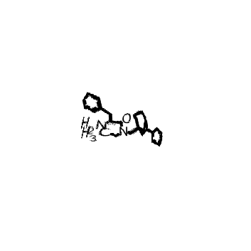 CCN(CC12CCC(C1)C(c1ccccc1)C2)C(=O)[C@@H](N)Cc1ccccc1